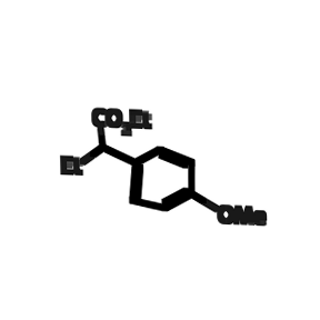 CCOC(=O)C(CC)c1ccc(OC)cc1